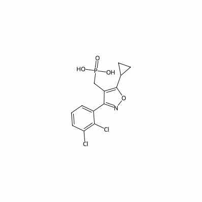 O=P(O)(O)Cc1c(-c2cccc(Cl)c2Cl)noc1C1CC1